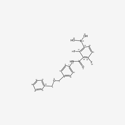 O=C(Nc1ccc(COCc2ccccc2)cc1)c1c(F)ccc(B(O)O)c1F